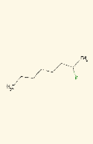 [CH2]CCCCCC(C)F